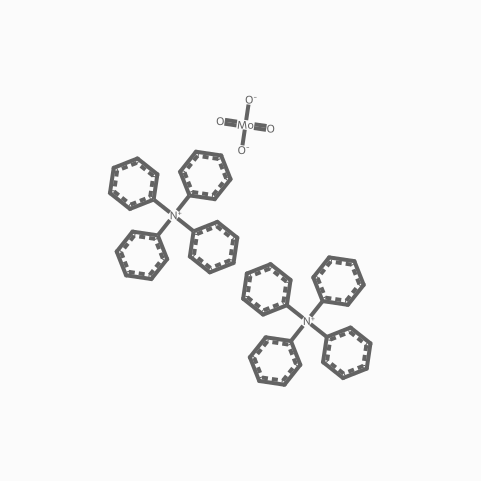 [O]=[Mo](=[O])([O-])[O-].c1ccc([N+](c2ccccc2)(c2ccccc2)c2ccccc2)cc1.c1ccc([N+](c2ccccc2)(c2ccccc2)c2ccccc2)cc1